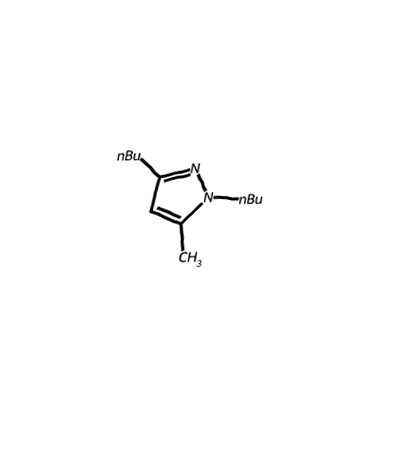 CCCCc1cc(C)n(CCCC)n1